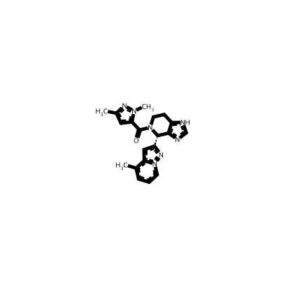 Cc1cc(C(=O)N2CCc3[nH]cnc3[C@@H]2c2cc3c(C)cccn3n2)n(C)n1